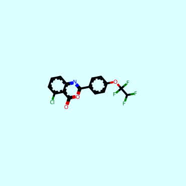 O=c1oc(-c2ccc(OC(F)(F)C(F)F)cc2)nc2cccc(Cl)c12